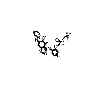 COc1c(N=S2(=O)CCCC2)cc2ncnc(Nc3ccc(F)cc3OCC(=O)NCC(F)(F)F)c2c1C